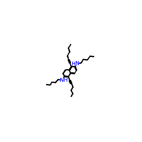 CCCCC#Cc1c(NCCCCC)ccc2c(C#CCCCC)c(NCCCCC)ccc12